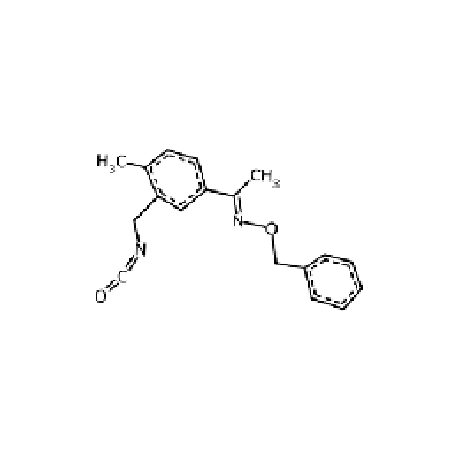 C/C(=N\OCc1ccccc1)c1ccc(C)c(CN=C=O)c1